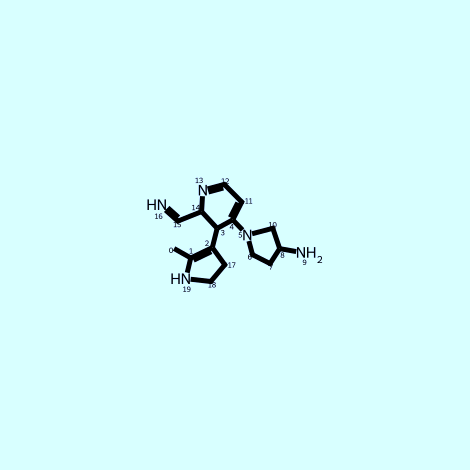 CC1=C(C2C(N3CCC(N)C3)=CC=NC2C=N)CCN1